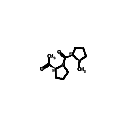 CC(=O)[C@H]1CCCN1C(=O)[C@H]1CCCN1C